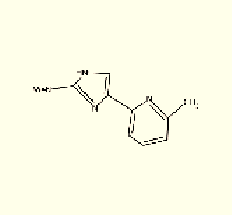 CNc1nc(-c2cccc(C)n2)c[nH]1